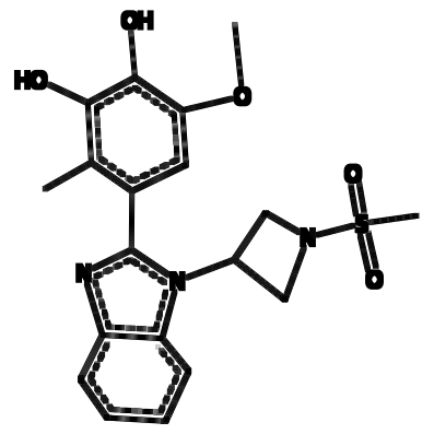 COc1cc(-c2nc3ccccc3n2C2CN(S(C)(=O)=O)C2)c(C)c(O)c1O